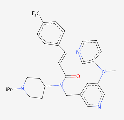 CC(C)N1CCC(N(Cc2cncc(N(C)c3cccnc3)c2)C(=O)/C=C/c2ccc(C(F)(F)F)cc2)CC1